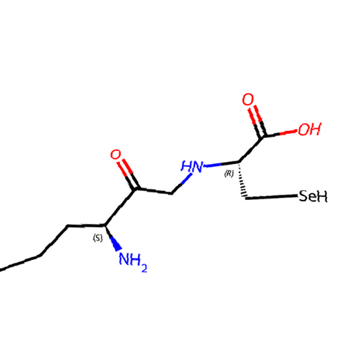 NC(=O)CC[C@H](N)C(=O)CN[C@@H](C[SeH])C(=O)O